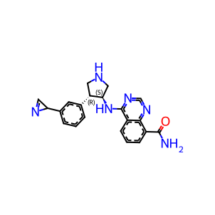 NC(=O)c1cccc2c(N[C@@H]3CNC[C@H]3c3cccc(C4C=N4)c3)ncnc12